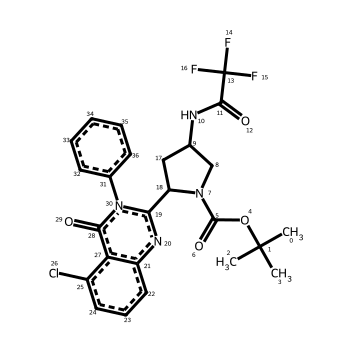 CC(C)(C)OC(=O)N1CC(NC(=O)C(F)(F)F)CC1c1nc2cccc(Cl)c2c(=O)n1-c1ccccc1